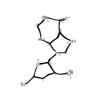 CCC1CC(O)C(N2CNC3C(=O)NCNC32)O1